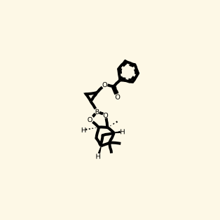 CC1(C)[C@@H]2C[C@H]3OB(C4CC4OC(=O)c4ccccc4)O[C@@]3(C)[C@H]1C2